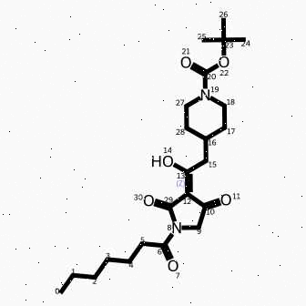 CCCCCCC(=O)N1CC(=O)/C(=C(/O)CC2CCN(C(=O)OC(C)(C)C)CC2)C1=O